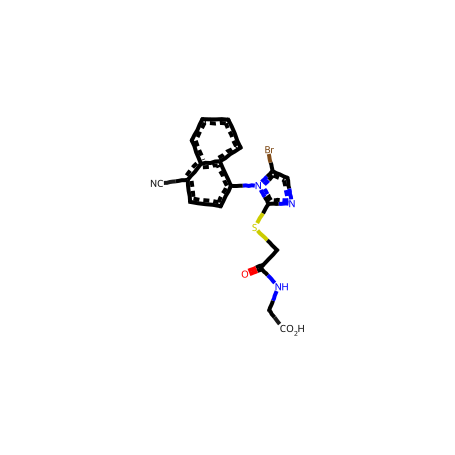 N#Cc1ccc(-n2c(Br)cnc2SCC(=O)NCC(=O)O)c2ccccc12